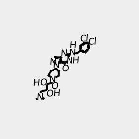 CN(C)CC(O)C(O)C(=O)N1CCC(n2ncc3nc(NCc4ccc(Cl)c(Cl)c4)[nH]c(=O)c32)CC1